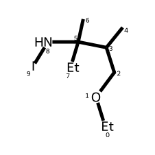 CCOCC(C)C(C)(CC)NI